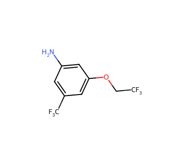 Nc1cc(OCC(F)(F)F)cc(C(F)(F)F)c1